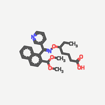 CCC(CCCC(=O)O)ON=C(c1cccnc1)c1c(C(OC)OC)ccc2ccccc12